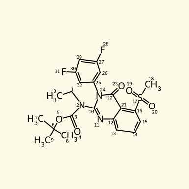 CCN(C(=O)OC(C)(C)C)c1nc2cccc(S(C)(=O)=O)c2c(=O)n1-c1cc(F)cc(F)c1